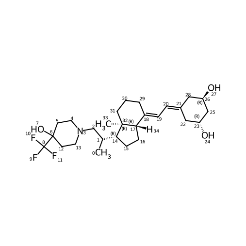 CC(CN1CCC(O)(C(F)(F)F)CC1)[C@H]1CC[C@H]2C(=CC=C3C[C@@H](O)C[C@H](O)C3)CCC[C@]12C